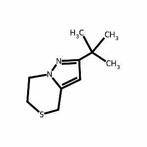 CC(C)(C)c1cc2n(n1)CCSC2